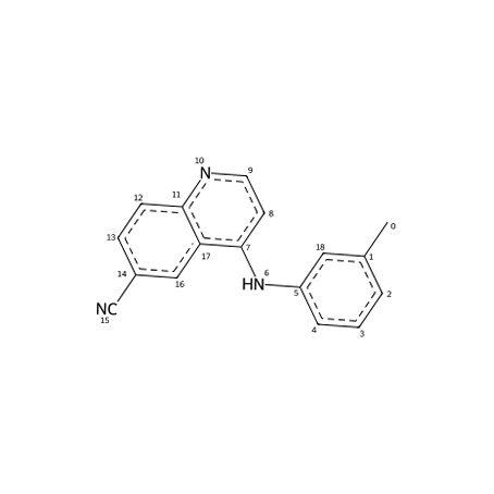 Cc1cccc(Nc2ccnc3ccc(C#N)cc23)c1